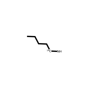 CCCC[14CH2][NH]